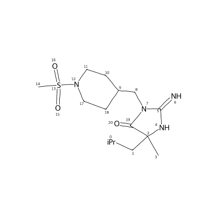 CC(C)CC1(C)NC(=N)N(CC2CCN(S(C)(=O)=O)CC2)C1=O